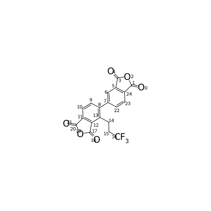 O=C1OC(=O)c2cc(-c3ccc4c(c3CCC(F)(F)F)C(=O)OC4=O)ccc21